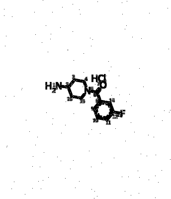 Cl.NC1CCN(C(=O)c2cccc(F)c2)CC1